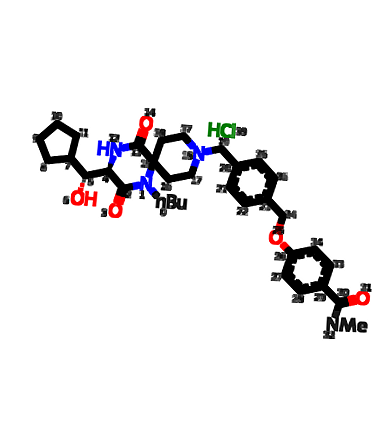 CCCCN1C(=O)[C@@H]([C@H](O)C2CCCC2)NC(=O)C12CCN(Cc1ccc(COc3ccc(C(=O)NC)cc3)cc1)CC2.Cl